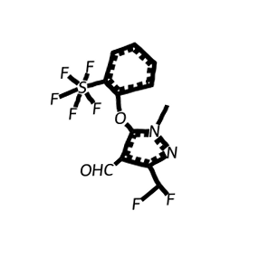 Cn1nc(C(F)F)c(C=O)c1Oc1ccccc1S(F)(F)(F)(F)F